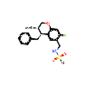 CCS(=O)(=O)NCc1cc2c(cc1F)OC[C@H](NC)[C@@H]2Cc1ccccc1